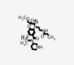 CCC(=O)NCCN1C(=O)C(C)(COC)Oc2cc(C)c(C(=O)N(C(C)C)[C@@H]3CCCNC3)cc21